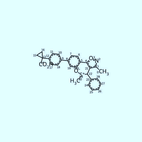 Cc1noc(-c2ccc(-c3ccc(C4(C(=O)O)CC4)cc3)cc2)c1C(c1ccccc1)[S+](C)[O-]